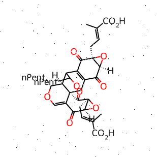 CCCCCC1OC2C3=C(C(=O)[C@@]4(C/C=C(\C)C(=O)O)O[C@H]4C3=O)C1[C@@H]1[C@@H](CCCCC)OC=C3C(=O)[C@@H]4O[C@]4(C/C=C(\C)C(=O)O)C(=O)[C@@]321